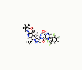 Cc1c([C@@H](C)n2cc(NC(=O)c3nc(-c4c(C(F)F)ccc(Cl)c4F)cnc3CO)cn2)cnc(N2C[C@H]3C[C@H]3C2=O)c1C